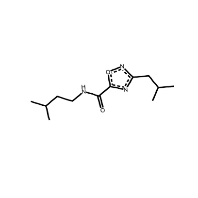 CC(C)CCNC(=O)c1nc(CC(C)C)no1